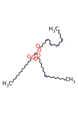 CCCCC/C=C\C/C=C\C/C=C\C/C=C\CCCC(=O)OC[C@@H](COC(=O)CCCCCCCCCCCCCC)OC(=O)CCCCCCC/C=C\CCCCCCCCC